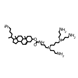 CC(C)CCCC(C)C1CCC2C3CC=C4CC(OC(=O)NCCCN(CCCN)CCCCN(CCCN)CCCN)CCC4(C)C3CCC12C